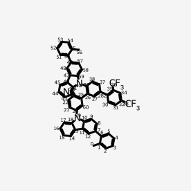 Cc1ccccc1-c1ccc2c(c1)c1ccccc1n2-c1ccc(C#N)c(-c2cc(-c3ccc(C(F)(F)F)cc3C(F)(F)F)ccc2-n2c3ccccc3c3cc(-c4ccccc4C)ccc32)c1